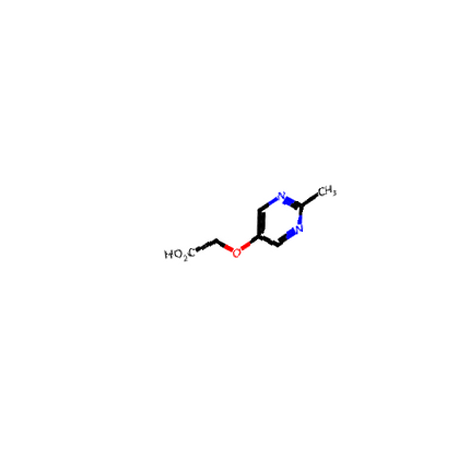 Cc1ncc(OCC(=O)O)cn1